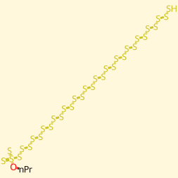 CCCOS(=S)(=S)SSSSSSSSSSSSSSSSSSSSSSSSSSSSSS